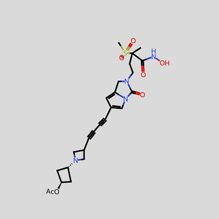 CC(=O)O[C@H]1C[C@H](N2CC(C#CC#Cc3cc4n(c3)C(=O)N(CCC(C)(C(=O)NO)S(C)(=O)=O)C4)C2)C1